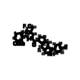 COc1ccccc1CCN(C[C@H](O)CC(F)(F)F)C(=O)[C@H]1CCC2=C1[C@@H](C)C1=CNN(c3ccc(F)cc3)C1=C2